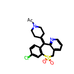 CC(=O)N1CCC(=C2c3ccc(Cl)cc3S(=O)(=O)Cc3cccnc32)CC1